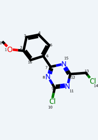 COc1cccc(-c2nc(Cl)nc(CCl)n2)c1